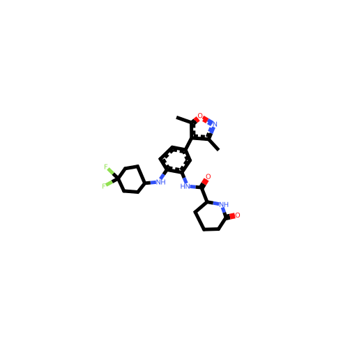 Cc1noc(C)c1-c1ccc(NC2CCC(F)(F)CC2)c(NC(=O)C2CCCC(=O)N2)c1